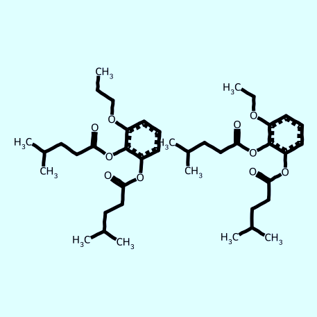 CCCOc1cccc(OC(=O)CCC(C)C)c1OC(=O)CCC(C)C.CCOc1cccc(OC(=O)CCC(C)C)c1OC(=O)CCC(C)C